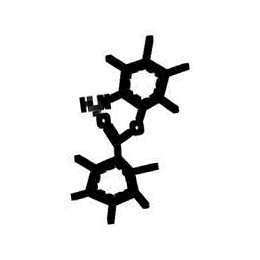 Cc1c(C)c(C)c(C(=O)Oc2c(C)c(C)c(C)c(C)c2N)c(C)c1C